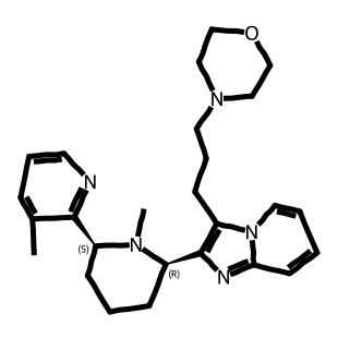 Cc1cccnc1[C@@H]1CCC[C@H](c2nc3ccccn3c2CCCN2CCOCC2)N1C